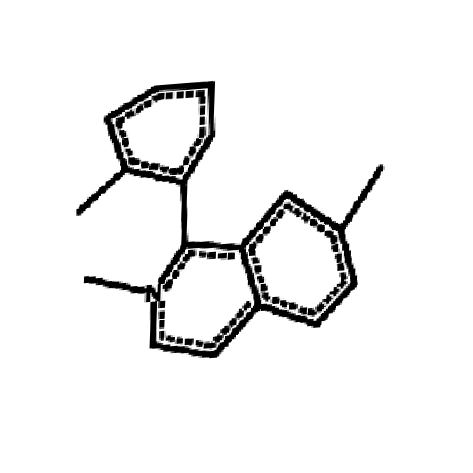 Cc1ccc2cc[n+](C)c(-c3ccccc3C)c2c1